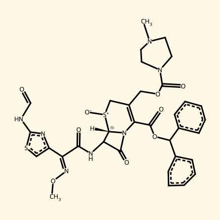 CON=C(C(=O)NC1C(=O)N2C(C(=O)OC(c3ccccc3)c3ccccc3)=C(COC(=O)N3CCN(C)CC3)C[S+]([O-])[C@@H]12)c1csc(NC=O)n1